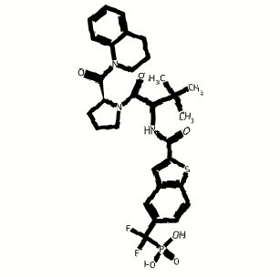 CC(C)(C)C(NC(=O)c1cc2cc(C(F)(F)P(=O)(O)O)ccc2s1)C(=O)N1CCC[C@H]1C(=O)N1CCCc2ccccc21